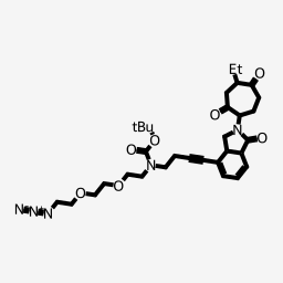 CCC1CC(=O)C(N2CC3C(C#CCCN(CCOCCOCCN=[N+]=[N-])C(=O)OC(C)(C)C)=CC=CC3C2=O)CCC1=O